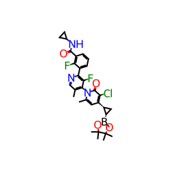 Cc1cnc(-c2cccc(C(=O)NC3CC3)c2F)c(F)c1-n1c(C)cc([C@H]2C[C@@H]2B2OC(C)(C)C(C)(C)O2)c(Cl)c1=O